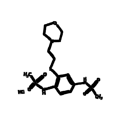 CS(=O)(=O)Nc1ccc(NS(C)(=O)=O)c(SCCN2CCOCC2)c1.Cl